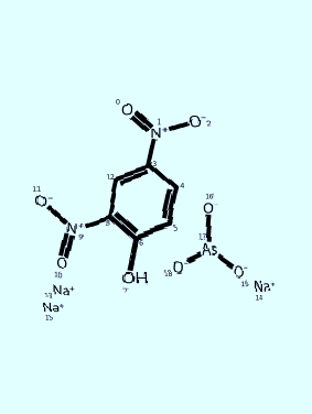 O=[N+]([O-])c1ccc(O)c([N+](=O)[O-])c1.[Na+].[Na+].[Na+].[O-][As]([O-])[O-]